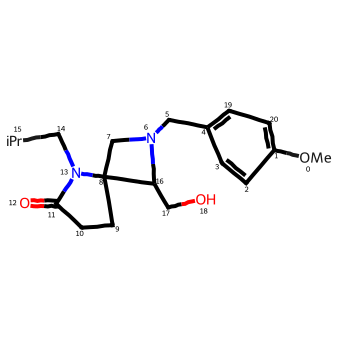 COc1ccc(CN2CC3(CCC(=O)N3CC(C)C)C2CO)cc1